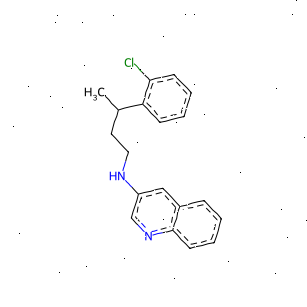 CC(CCNc1cnc2ccccc2c1)c1ccccc1Cl